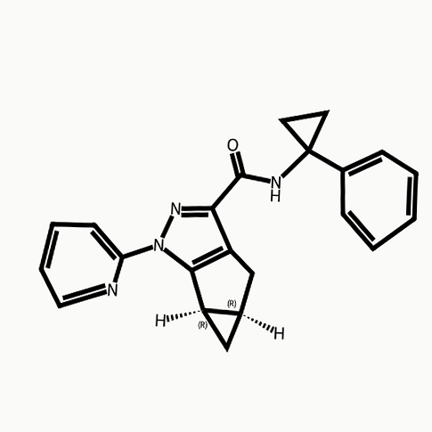 O=C(NC1(c2ccccc2)CC1)c1nn(-c2ccccn2)c2c1C[C@H]1C[C@@H]21